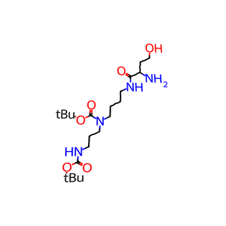 CC(C)(C)OC(=O)NCCCN(CCCCNC(=O)C(N)CCO)C(=O)OC(C)(C)C